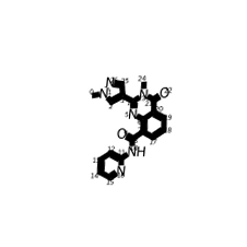 Cn1cc(-c2nc3c(C(=O)Nc4ccccn4)cccc3c(=O)n2C)cn1